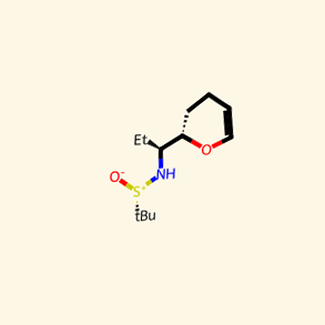 CC[C@H](N[S@@+]([O-])C(C)(C)C)[C@@H]1CCC=CO1